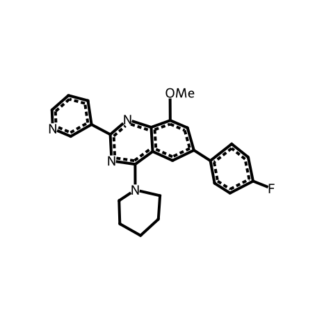 COc1cc(-c2ccc(F)cc2)cc2c(N3CCCCC3)nc(-c3cccnc3)nc12